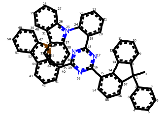 CC1(c2ccccc2)c2ccccc2-c2c(-c3nc(-c4ccccc4-n4c5ccccc5c5ccccc54)nc(-c4cccc5c4sc4ccccc45)n3)cccc21